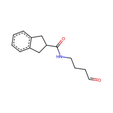 O=CCCCNC(=O)C1Cc2ccccc2C1